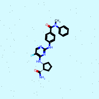 CN(C(=O)c1ccc(Nc2ncc(F)c(N[C@@H]3CCC[C@@H]3C(N)=O)n2)cc1)c1ccccc1